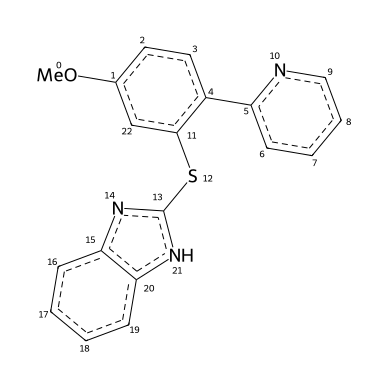 COc1ccc(-c2ccccn2)c(Sc2nc3ccccc3[nH]2)c1